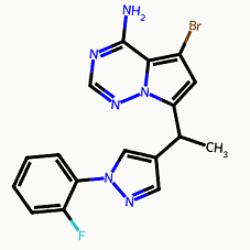 CC(c1cnn(-c2ccccc2F)c1)c1cc(Br)c2c(N)ncnn12